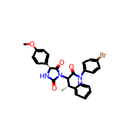 COc1ccc([C@H]2NC(=O)N(C(C(=O)Nc3ccc(Br)cc3)[C@@H](C)c3ccccc3)C2=O)cc1